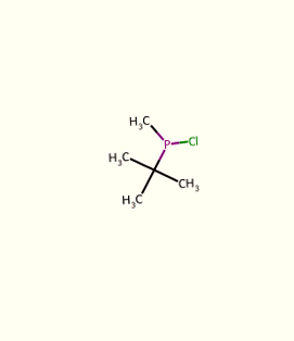 CP(Cl)C(C)(C)C